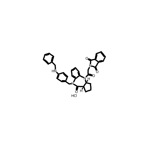 Cl.O=C1c2ccccc2C(=O)N1CC(=O)N1c2ccccc2N(Cc2ccc(NCc3ccccc3)cc2)C(=O)[C@H]2CCC[C@H]21